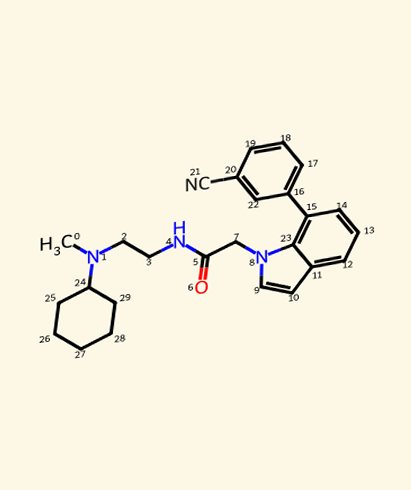 CN(CCNC(=O)Cn1ccc2cccc(-c3cccc(C#N)c3)c21)C1CCCCC1